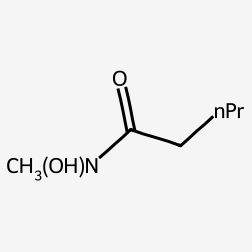 [CH2]CCCC(=O)N(C)O